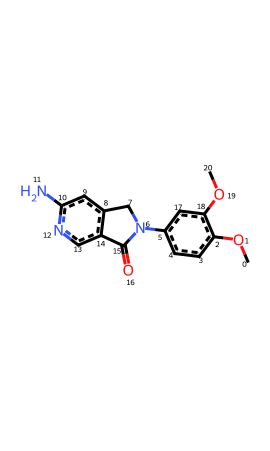 COc1ccc(N2Cc3cc(N)ncc3C2=O)cc1OC